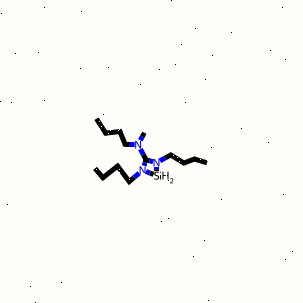 CCCCN(C)C1N(CCCC)[SiH2]N1CCCC